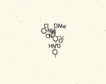 COCCn1c(Nc2c(Cl)cccc2Cl)nc2cc(C(=O)Nc3ccc(C)cc3)c3c(c21)CC(C)(C)O3